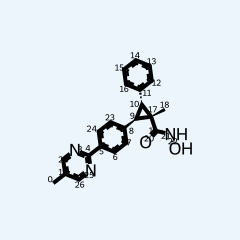 Cc1cnc(-c2ccc([C@H]3[C@H](c4ccccc4)[C@]3(C)C(=O)NO)cc2)nc1